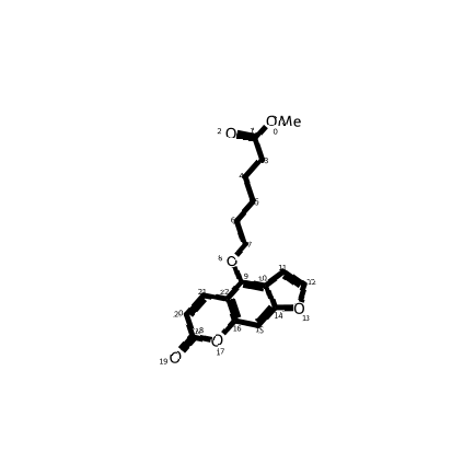 COC(=O)CCCCCOc1c2ccoc2cc2oc(=O)ccc12